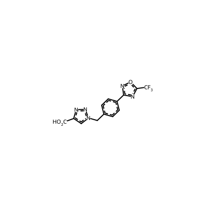 O=C(O)c1cn(Cc2ccc(-c3noc(C(F)(F)F)n3)cc2)nn1